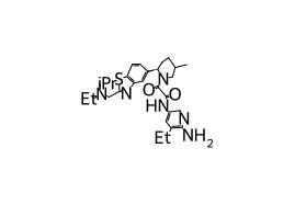 CCc1cc(NC(=O)C(=O)N2CC(C)CC[C@@H]2c2ccc3sc(CN(CC)C(C)C)nc3c2)cnc1N